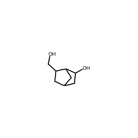 OCC1CC2CC(O)C1C2